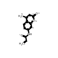 C=CC(=O)Nc1ccc2c(C)cc(=O)oc2c1